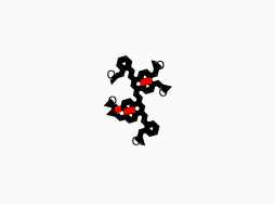 c1ccc(CC2CO2)c(CCC(CC(CCC(CC(CCc2ccccc2CC2CO2)c2ccc(CC3CO3)cc2)c2ccc(CC3CO3)cc2)c2ccc(CC3CO3)cc2)c2ccc(CC3CO3)cc2)c1